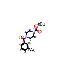 CC(=O)c1cccc(C(=O)N2CCN(C(=O)OC(C)(C)C)CC2)c1